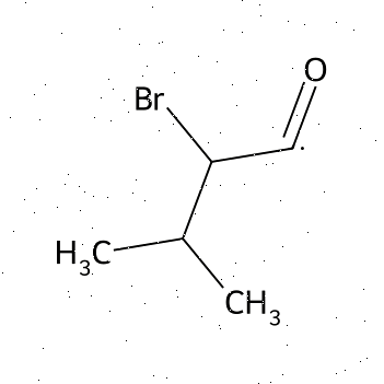 CC(C)C(Br)[C]=O